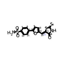 NS(=O)(=O)c1ccc(-c2ccc(/C=C3\SC(=S)NC3=O)o2)cc1